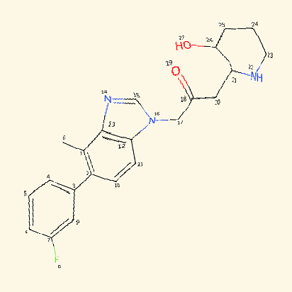 Cc1c(-c2cccc(F)c2)ccc2c1ncn2CC(=O)CC1NCCCC1O